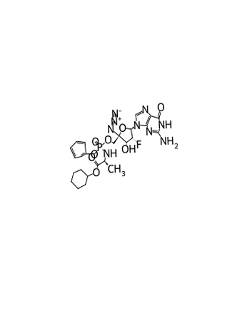 C[C@H](NP(=O)(OC[C@@]1(N=[N+]=[N-])O[C@@H](n2cnc3c(=O)[nH]c(N)nc32)[C@H](F)[C@@H]1O)Oc1ccccc1)C(=O)OC1CCCCC1